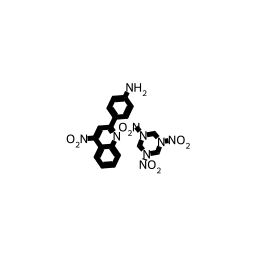 Nc1ccc(-c2cc([N+](=O)[O-])c3ccccc3n2)cc1.O=[N+]([O-])N1CN([N+](=O)[O-])CN([N+](=O)[O-])C1